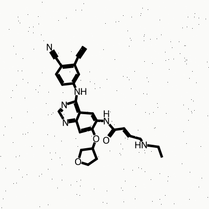 C#Cc1cc(Nc2ncnc3cc(OC4CCOC4)c(NC(=O)C=CCNCC)cc23)ccc1C#N